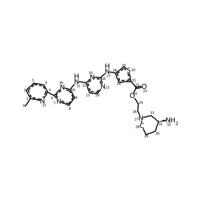 Cc1cccc(-c2nccc(Nc3ccnc(Nc4csc(C(=O)OCCN5CCC[C@H](N)C5)c4)n3)n2)n1